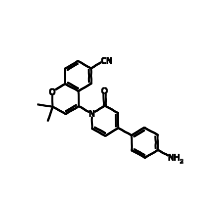 CC1(C)C=C(n2ccc(-c3ccc(N)cc3)cc2=O)c2cc(C#N)ccc2O1